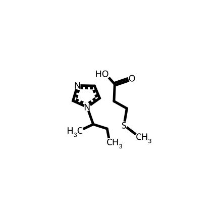 CCC(C)n1ccnc1.CSCCC(=O)O